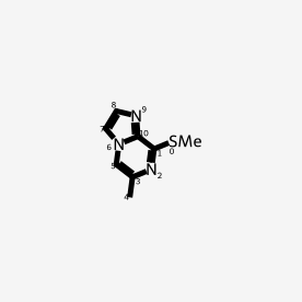 CSc1nc(C)cn2ccnc12